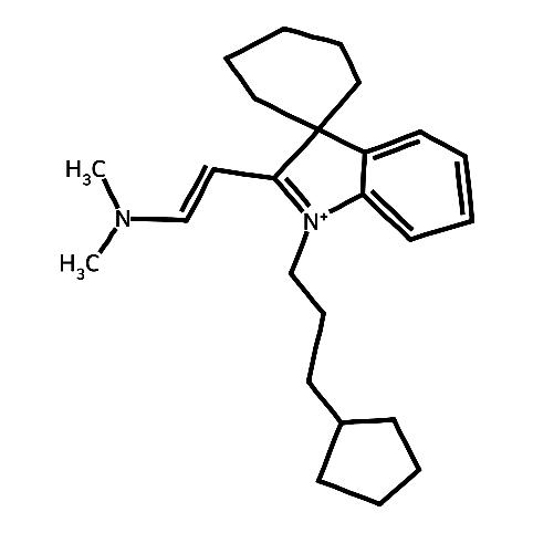 CN(C)/C=C/C1=[N+](CCCC2CCCC2)c2ccccc2C12CCCCC2